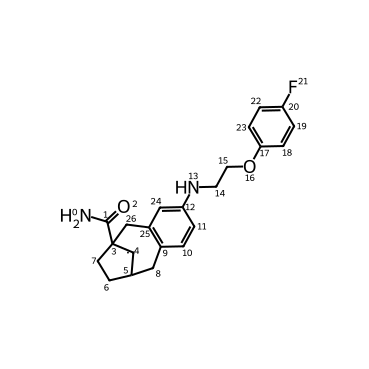 NC(=O)C12[CH]C(CC1)Cc1ccc(NCCOc3ccc(F)cc3)cc1C2